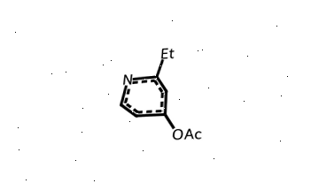 CCc1cc(OC(C)=O)ccn1